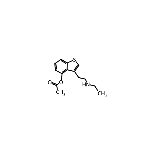 CCNCCc1csc2cccc(OC(C)=O)c12